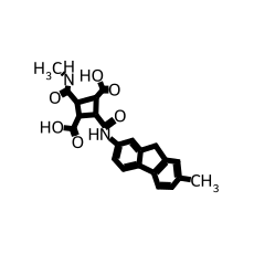 CNC(=O)C1C(C(=O)O)C(C(=O)Nc2ccc3c(c2)Cc2cc(C)ccc2-3)C1C(=O)O